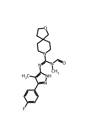 Cc1c(-c2ccc(F)cc2)n[nH]c1/N=C(\N(C)C=O)N1CCC2(CCOC2)CC1